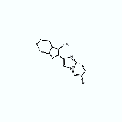 CN1C2CCCCC2C[C@@H]1c1cn2cc(Br)ccc2n1